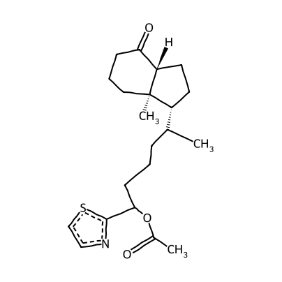 CC(=O)OC(CCCC(C)[C@H]1CC[C@H]2C(=O)CCC[C@]12C)c1nccs1